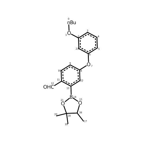 CCCCOc1cccc(Oc2ccc(C=O)c(B3OC(C)C(C)(C)O3)c2)c1